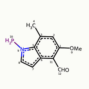 COc1cc(C)c2c(ccn2P)c1C=O